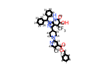 O=C(OCc1ccccc1)c1cc(N2CCC(c3nn(C(c4ccccc4)c4ccccc4)c4c3[C@H](C(F)(F)F)[C@H](O)C(=O)N4)CC2)ncc1C(F)(F)F